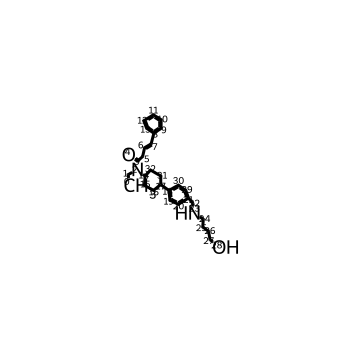 CCN(C(=O)CC=Cc1ccccc1)C1CCC(c2ccc(CNCCCCO)cc2)CC1